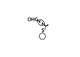 C=C(CSC1CCCCCC1)N1CCN(C=O)CC1